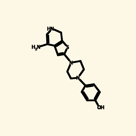 NC1=CNCc2sc(N3CCN(c4ccc(O)cc4)CC3)cc21